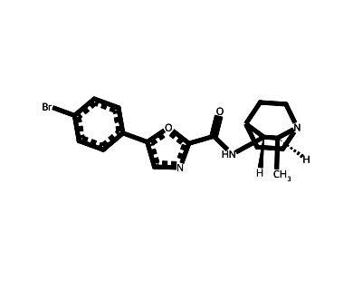 C[C@H]1[C@H](NC(=O)c2ncc(-c3ccc(Br)cc3)o2)C2CCN1CC2